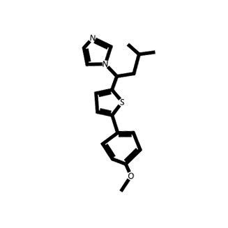 COc1ccc(-c2ccc(C(CC(C)C)n3ccnc3)s2)cc1